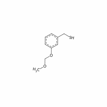 COCOc1cccc(CS)c1